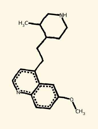 COc1ccc2nccc(CCC3CCNCC3C)c2c1